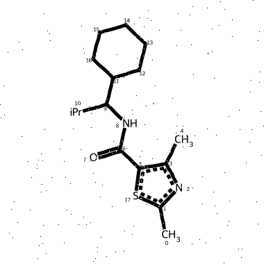 Cc1nc(C)c(C(=O)NC(C(C)C)C2CCCCC2)s1